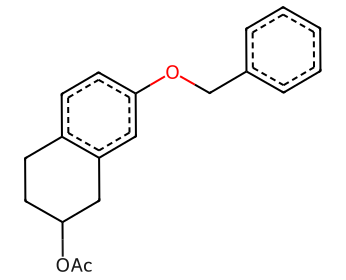 CC(=O)OC1CCc2ccc(OCc3ccccc3)cc2C1